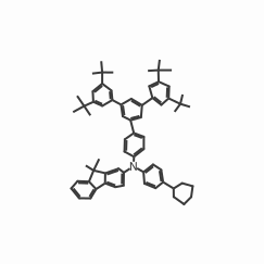 CC(C)(C)c1cc(-c2cc(-c3ccc(N(c4ccc(C5CCCCC5)cc4)c4ccc5c(c4)C(C)(C)c4ccccc4-5)cc3)cc(-c3cc(C(C)(C)C)cc(C(C)(C)C)c3)c2)cc(C(C)(C)C)c1